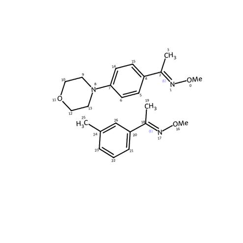 CO/N=C(\C)c1ccc(N2CCOCC2)cc1.CO/N=C(\C)c1cccc(C)c1